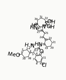 COC1CCC([C@H](c2ccc(Cl)cc2)[C@H](N)C(=O)N[C@H]2CCCC[C@@H]2CC[C@H]2CN[C@@H]3CCCS(O)(O)N2C3)CC1